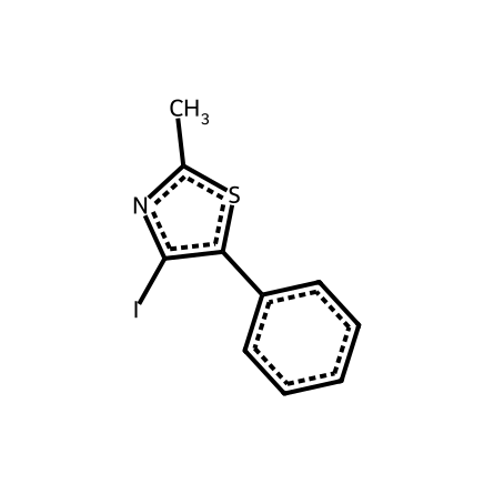 Cc1nc(I)c(-c2ccccc2)s1